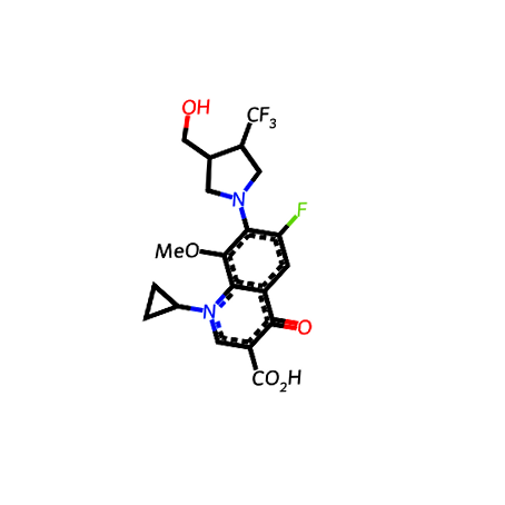 COc1c(N2CC(CO)C(C(F)(F)F)C2)c(F)cc2c(=O)c(C(=O)O)cn(C3CC3)c12